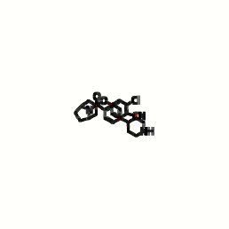 N#Cc1ccc(OC2CC3CCC(C2)N3C(=O)c2ccc(C3CCNCC3)cc2)cc1Cl